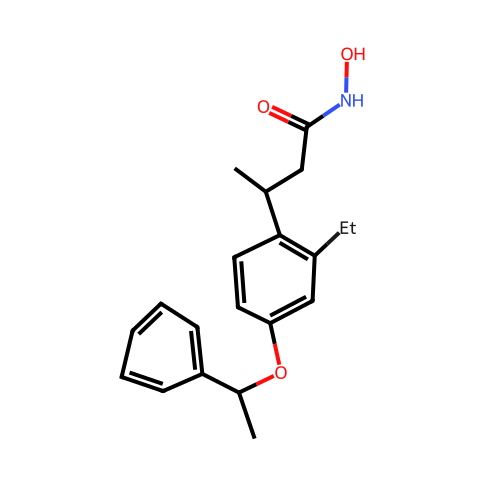 CCc1cc(OC(C)c2ccccc2)ccc1C(C)CC(=O)NO